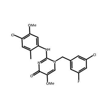 COc1cc(Nc2nc(=O)c(OC)cn2Cc2cc(F)cc(Cl)c2)c(C)cc1Cl